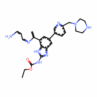 C=C(/N=C\C=C/N)c1cc(-c2ccc(CN3CCNCC3)nc2)cc2nc(NC(=O)OCC)[nH]c12